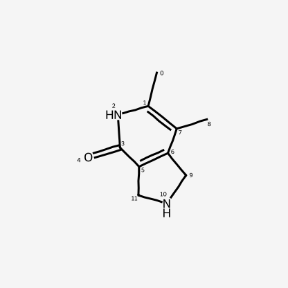 Cc1[nH]c(=O)c2c(c1C)CNC2